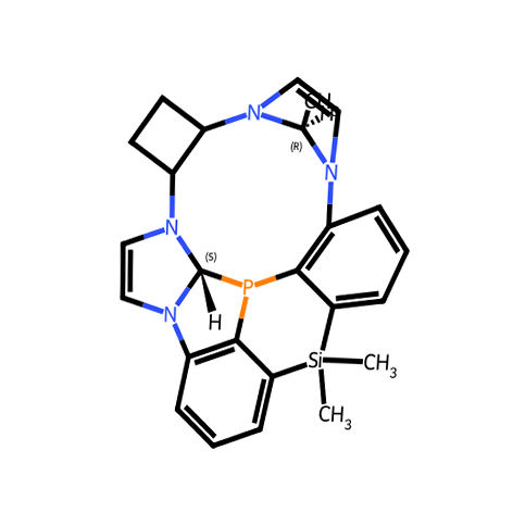 C[C@H]1N2C=CN1C1CCC1N1C=CN3c4cccc5c4P(c4c2cccc4[Si]5(C)C)[C@H]31